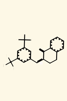 O=C1/C(=C\c2cc(C(F)(F)F)cc(C(F)(F)F)c2)CCc2ccccc21